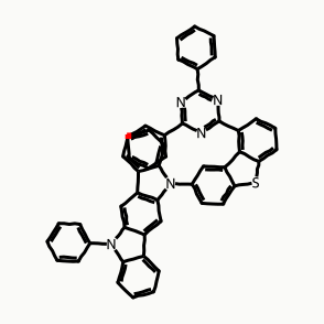 c1ccc(-c2nc(-c3ccccc3)nc(-c3cccc4sc5ccc(-n6c7ccccc7c7cc8c(cc76)c6ccccc6n8-c6ccccc6)cc5c34)n2)cc1